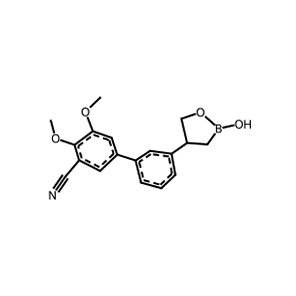 COc1cc(-c2cccc(C3COB(O)C3)c2)cc(C#N)c1OC